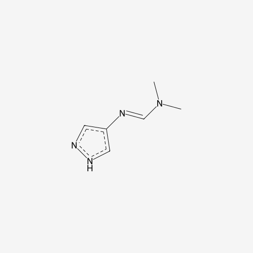 CN(C)/C=N/c1cn[nH]c1